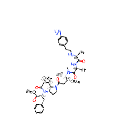 CC[C@H](C)[C@@H]([C@@H](CC(=O)N1CCC[C@H]1[C@H](OC)[C@@H](C)C(=O)N[C@@H](Cc1ccccc1)C(=O)OC)OC)N(C)C(=O)[C@@H](NC(=O)[C@@H](NCCc1ccc(N)cc1)C(C)C)C(C)C